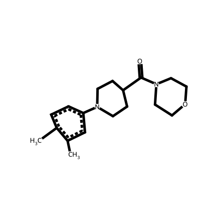 Cc1ccc(N2CCC(C(=O)N3CCOCC3)CC2)cc1C